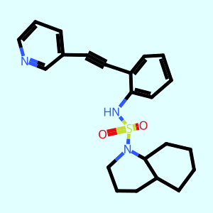 O=S(=O)(Nc1ccccc1C#Cc1cccnc1)N1CCCC2CCCCC21